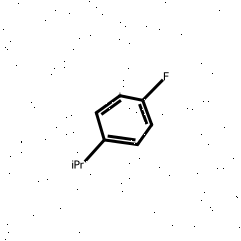 CC(C)c1c[c]c(F)cc1